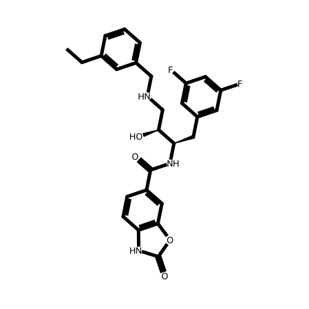 CCc1cccc(CNC[C@H](O)[C@@H](Cc2cc(F)cc(F)c2)NC(=O)c2ccc3[nH]c(=O)oc3c2)c1